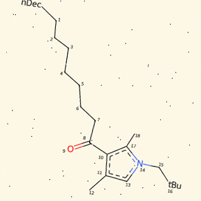 CCCCCCCCCCCCCCCCCC(=O)c1c(C)cn(CC(C)(C)C)c1C